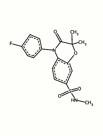 CNS(=O)(=O)c1ccc2c(c1)OC(C)(C)C(=O)N2c1ccc(F)cc1